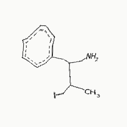 CC(I)C(N)c1ccccc1